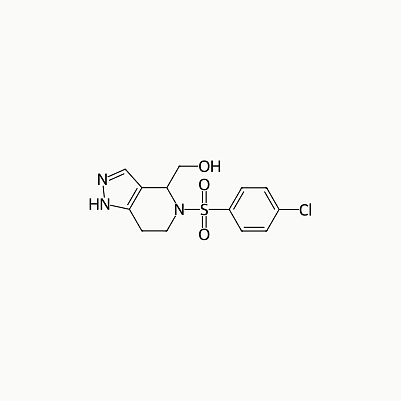 O=S(=O)(c1ccc(Cl)cc1)N1CCc2[nH]ncc2C1CO